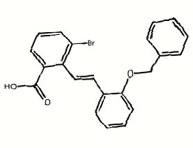 O=C(O)c1cccc(Br)c1C=Cc1ccccc1OCc1ccccc1